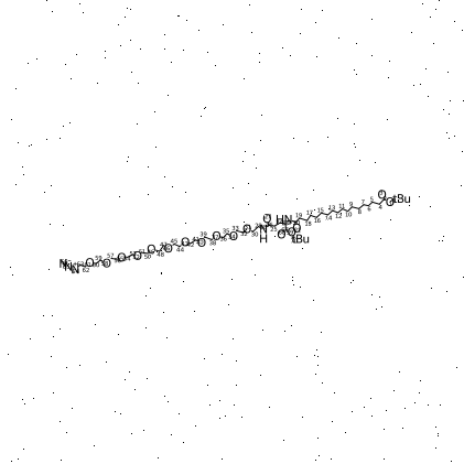 CC(C)(C)OC(=O)CCCCCCCCCCCCCCCCC(=O)NC(CCC(=O)NCCOCCOCCOCCOCCOCCOCCOCCOCCOCCOCCOCCN=[N+]=[N-])C(=O)OC(C)(C)C